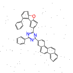 c1ccc(-c2nc(-c3ccc4c(ccc5c6ccccc6ccc45)c3)nc(-c3ccc4oc5cccc(-c6ccccc6)c5c4c3)n2)cc1